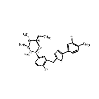 CC(=O)OC[C@H]1O[C@@H](c2ccc(Cl)c(Cc3ccc(-c4ccc(C=O)c(F)c4)s3)c2)[C@H](OC(C)=O)[C@@H](OC(C)=O)[C@@H]1OC(C)=O